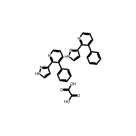 O=C(O)C(=O)O.c1ccc(-c2cccnc2-c2cc[nH]n2)cc1.c1ccc(-c2cccnc2-c2cc[nH]n2)cc1